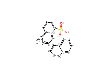 O=S(=O)([O-])c1cccc2ccccc12.[Na+].c1ccc2ccccc2c1